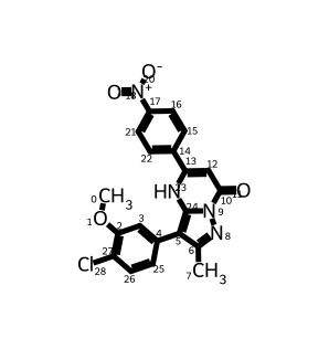 COc1cc(-c2c(C)nn3c(=O)cc(-c4ccc([N+](=O)[O-])cc4)[nH]c23)ccc1Cl